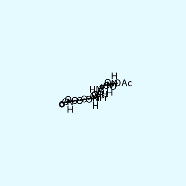 CC(=O)OCNC(=O)CNC(=O)OCc1ccc(NC(=O)CNC(=O)C(NC(=O)CCOCCOCCOCCOCCNC(=O)COC2C#CCCCCC2)C(C)C)cc1